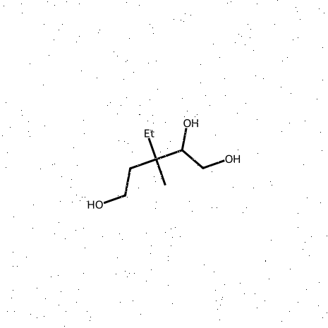 CCC(C)(CCO)C(O)CO